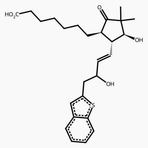 CC1(C)C(=O)[C@H](CCCCCCC(=O)O)[C@@H](C=CC(O)Cc2cc3ccccc3s2)[C@@H]1O